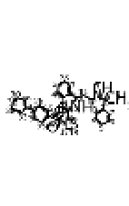 C[C@@H](c1ccccc1)N(C)CCC(NC(=O)C1SCCN1S(=O)(=O)c1ccc(-c2ccccc2)cc1)c1ccccc1